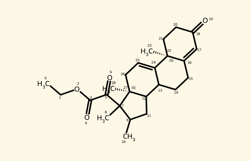 CCOC(=O)C(=O)C1(C)C(C)CC2C3CCC4=CC(=O)CC[C@]4(C)C3=CC[C@@]21C